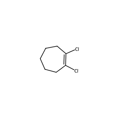 ClC1=C(Cl)CCCCC1